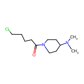 CN(C)C1CCN(C(=O)CCCCCl)CC1